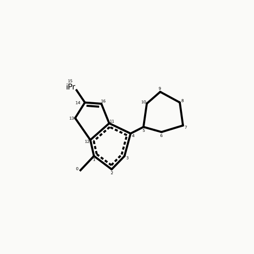 Cc1ccc(C2CCCCC2)c2c1CC(C(C)C)=C2